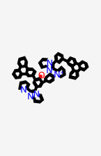 c1ccc(-c2nc3ccccn3c2-c2cc(-c3ccc4c5ccccc5c5ccccc5c4c3)c3oc4cc(-[n+]5ccccc5-c5nc6ccccn6c5-c5cccc(-c6ccc7c8ccccc8c8ccccc8c7c6)c5)ccc4c3c2)nc1